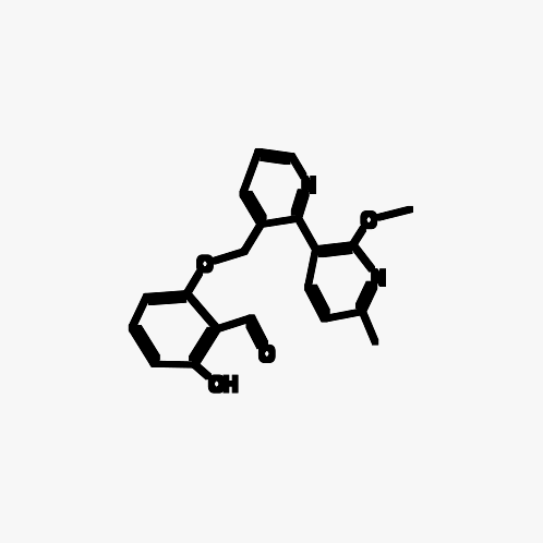 COc1nc(C)ccc1-c1ncccc1COc1cccc(O)c1C=O